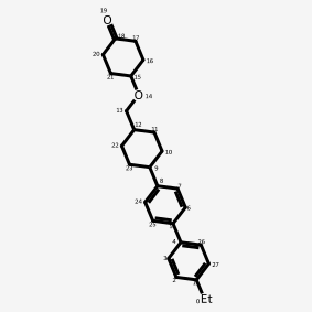 CCc1ccc(-c2ccc(C3CCC(COC4CCC(=O)CC4)CC3)cc2)cc1